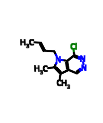 CC=CCn1c(C)c(C)c2cnnc(Cl)c21